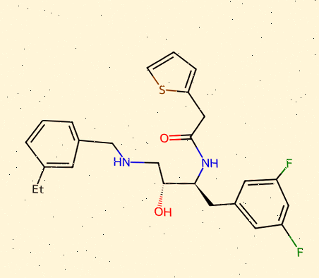 CCc1cccc(CNC[C@@H](O)[C@H](Cc2cc(F)cc(F)c2)NC(=O)Cc2cccs2)c1